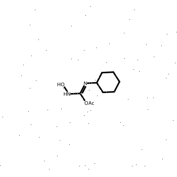 CC(=O)O/C(=N\C1CCCCC1)NO